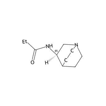 CCC(=O)N[C@H]1CN2CCC1CC2